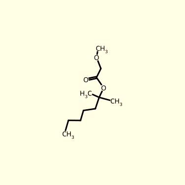 CCCCCC(C)(C)OC(=O)COC